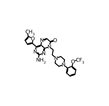 Cc1ccc(-c2nc(N)nc3c2ncc(=O)n3CCN2CCN(c3ccccc3OC(F)(F)F)CC2)o1